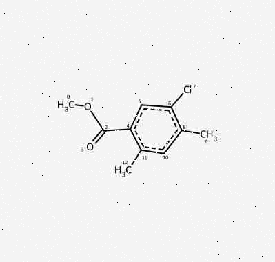 COC(=O)c1cc(Cl)c(C)cc1C